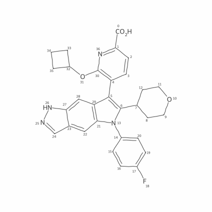 O=C(O)c1ccc(-c2c(C3CCOCC3)n(-c3ccc(F)cc3)c3cc4cn[nH]c4cc23)c(OC2CCC2)n1